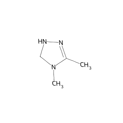 CC1=NNCN1C